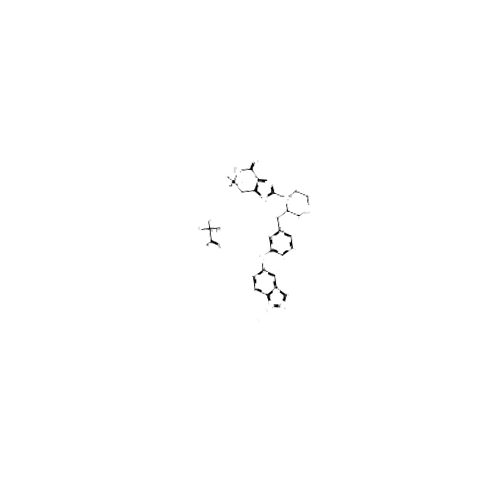 Cn1ncc2cc(Nc3cccc(CC4COCCN4c4nc5c(s4)C(=O)NC(C)(C)C5)c3)ccc21.O=C(O)C(F)(F)F